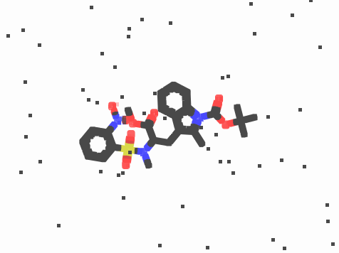 COC(=O)C(Cc1c(C)n(C(=O)OC(C)(C)C)c2ccccc12)N(C)S(=O)(=O)c1ccccc1[N+](=O)[O-]